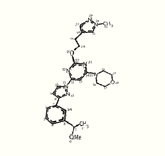 COC(C)c1cccc(-c2ccn(-c3cc(N4CCOCC4)nc(OCCc4cnn(C)c4)n3)n2)c1